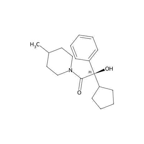 CC1CCN(C(=O)[C@](O)(c2ccccc2)C2CCCC2)CC1